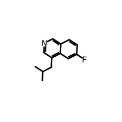 CC(C)Cc1cncc2ccc(F)cc12